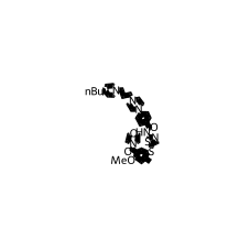 CCCCN1CCN(CCCN2CCN(c3ccc(C(=O)Nc4ncc(Sc5cc(C(=O)N6CCOCC6)c(OC)cc5C)s4)cc3)CC2)CC1